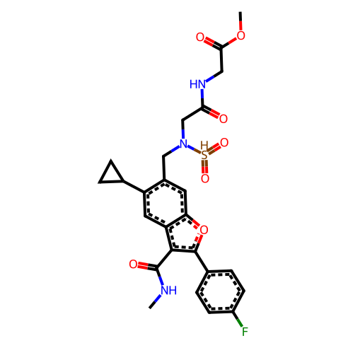 CNC(=O)c1c(-c2ccc(F)cc2)oc2cc(CN(CC(=O)NCC(=O)OC)[SH](=O)=O)c(C3CC3)cc12